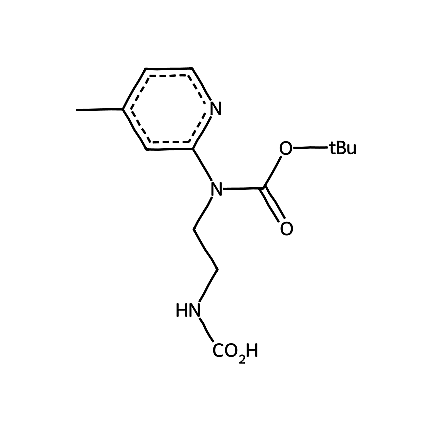 Cc1ccnc(N(CCNC(=O)O)C(=O)OC(C)(C)C)c1